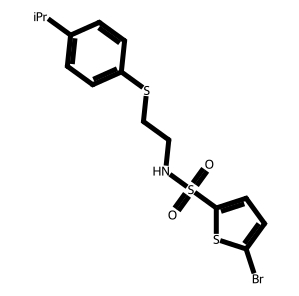 CC(C)c1ccc(SCCNS(=O)(=O)c2ccc(Br)s2)cc1